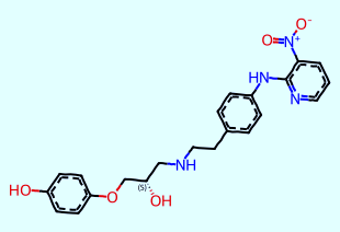 O=[N+]([O-])c1cccnc1Nc1ccc(CCNC[C@H](O)COc2ccc(O)cc2)cc1